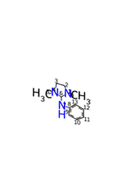 CN1CCN(C)C1Nc1ccccc1